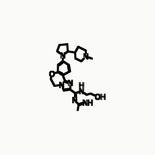 CC(=N)/N=C(\NCCO)c1cn2c(n1)-c1ccc(N3CCCC3C3CCN(C)CC3)cc1OCC2